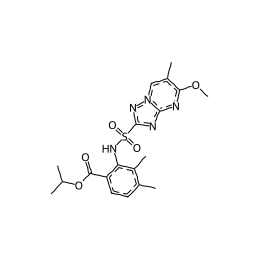 COc1nc2nc(S(=O)(=O)Nc3c(C(=O)OC(C)C)ccc(C)c3C)nn2cc1C